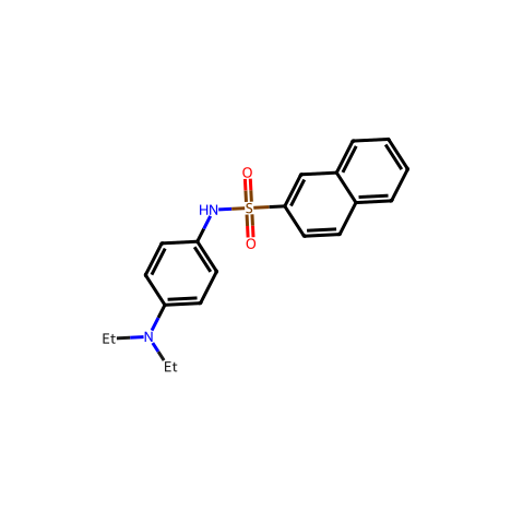 CCN(CC)c1ccc(NS(=O)(=O)c2ccc3ccccc3c2)cc1